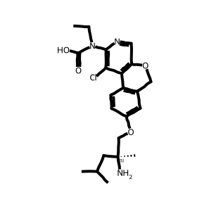 CCN(C(=O)O)c1ncc2c(c1Cl)-c1ccc(OC[C@@](C)(N)CC(C)C)cc1CO2